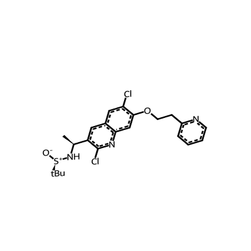 C[C@H](N[S@+]([O-])C(C)(C)C)c1cc2cc(Cl)c(OCCc3ccccn3)cc2nc1Cl